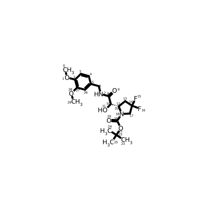 COc1ccc(CNC(=O)C(O)[C@@H]2CC(F)(F)CN2C(=O)OC(C)(C)C)cc1OC